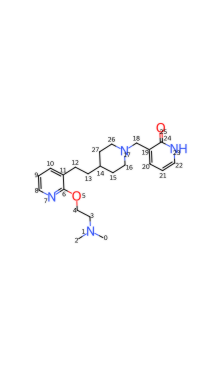 CN(C)CCOc1ncccc1CCC1CCN(Cc2ccc[nH]c2=O)CC1